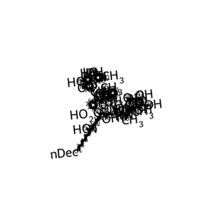 CCCCCCCCCCCCCCCCCC(O)=NCCCC[C@H](N=C(O)CC[C@@H](N=C(O)[C@H](C)N=C(O)[C@@H](C)O[C@H]1C(O)[C@@H](CO)O[C@@H](O)[C@@H]1N=C(C)O)C(=N)O)C(=O)O.CN(C(=O)c1c(O)c2ccccc2n(C)c1=O)c1ccccc1.Cc1cc(=O)c2c(O)cc(O)c([C@H]3CCN(C)C[C@H]3O)c2o1.[Lu]